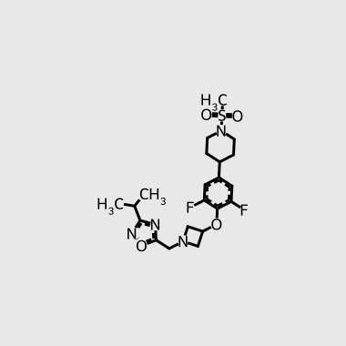 CC(C)c1noc(CN2CC(Oc3c(F)cc(C4CCN(S(C)(=O)=O)CC4)cc3F)C2)n1